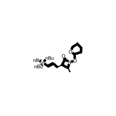 CCC[CH2][Sn](/[CH]=C/C[C@H]1C(=O)N(OC2CCCCO2)[C@H]1C)([CH2]CCC)[CH2]CCC